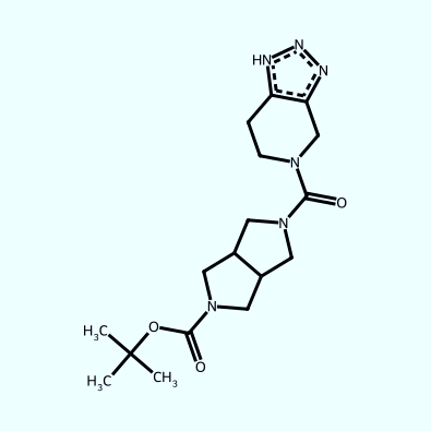 CC(C)(C)OC(=O)N1CC2CN(C(=O)N3CCc4[nH]nnc4C3)CC2C1